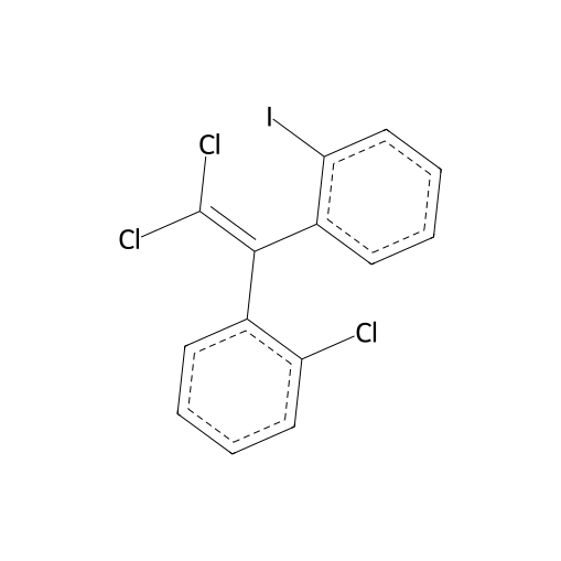 ClC(Cl)=C(c1ccccc1Cl)c1ccccc1I